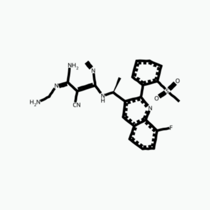 C=N/C(N[C@@H](C)c1cc2cccc(F)c2nc1-c1ccccc1S(C)(=O)=O)=C(C#N)\C(N)=N/CN